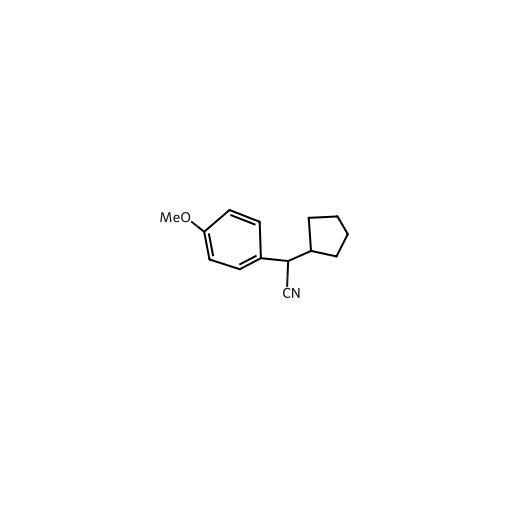 COc1ccc(C(C#N)C2CCCC2)cc1